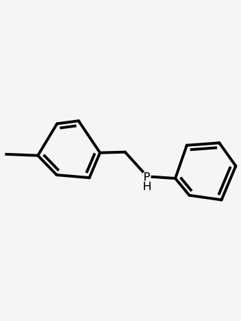 Cc1ccc(CPc2ccccc2)cc1